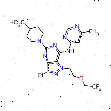 CCc1nn(CCOCC(F)(F)F)c2c(Nc3cc(C)ncn3)nc(N3CCC(C(=O)O)CC3)nc12